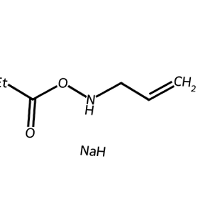 C=CCNOC(=O)CC.[NaH]